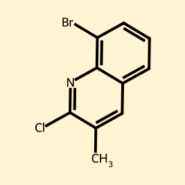 Cc1cc2cccc(Br)c2nc1Cl